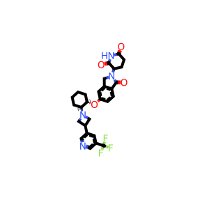 O=C1CCC(N2Cc3cc(O[C@H]4CCCC[C@@H]4N4CC(c5cncc(C(F)(F)F)c5)C4)ccc3C2=O)C(=O)N1